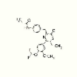 CCC(=O)Nc1ccc(CN2N=C(c3ccc(OC(F)F)c(OC)c3)C(CC)SC2=O)cc1